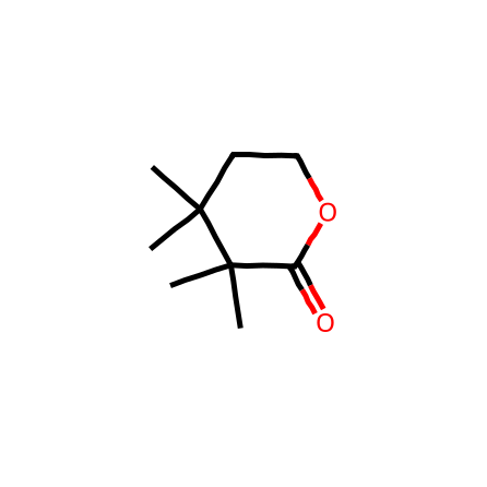 CC1(C)CCOC(=O)C1(C)C